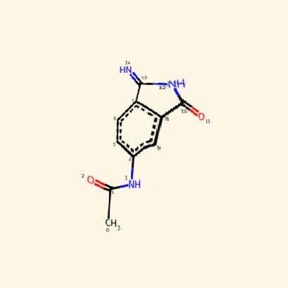 CC(=O)Nc1ccc2c(c1)C(=O)NC2=N